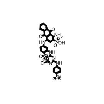 Nc1c(S(=O)(=O)O)cc(Nc2ccc(S(=O)(=O)O)c(Nc3nc(Cl)nc(Nc4ccc([SH](=O)=O)cc4)n3)c2)c2c1C(=O)c1ccccc1C2=O